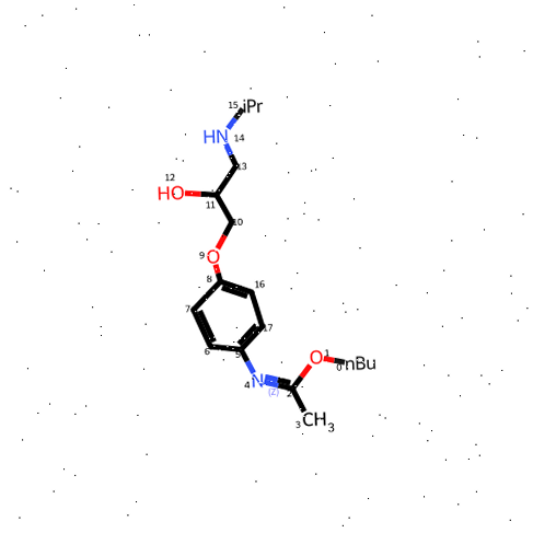 CCCCO/C(C)=N\c1ccc(OCC(O)CNC(C)C)cc1